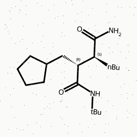 CCCC[C@H](C(N)=O)[C@@H](CC1CCCC1)C(=O)NC(C)(C)C